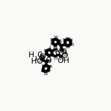 COc1ccc2c(c1OC(C(=O)O)c1ccccc1)CC(C(=O)O)N(C(=O)C(c1ccccc1)c1ccccc1)C2